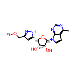 CCOCc1cc([C@@H]2O[C@@H](n3ccc4c(C)ncnc43)[C@H](O)[C@@H]2O)[nH]n1